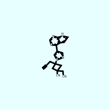 C#CCC1(n2cc(-c3ncnc4[nH]ccc34)cn2)CC(C#N)(CC#N)C1